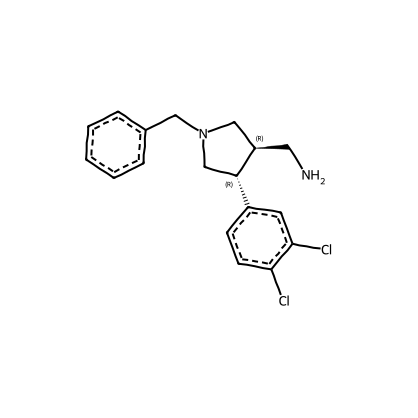 NC[C@@H]1CN(Cc2ccccc2)C[C@H]1c1ccc(Cl)c(Cl)c1